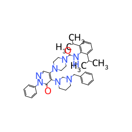 CC(C)c1cccc(C(C)C)c1NC(=O)N1CCN(c2cnn(-c3ccccc3)c(=O)c2N2CCCN(Cc3ccccc3)C2)CC1